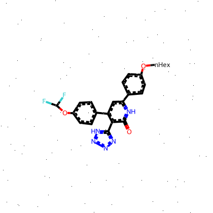 CCCCCCOc1ccc(-c2cc(-c3ccc(OC(F)F)cc3)c(-c3nnn[nH]3)c(=O)[nH]2)cc1